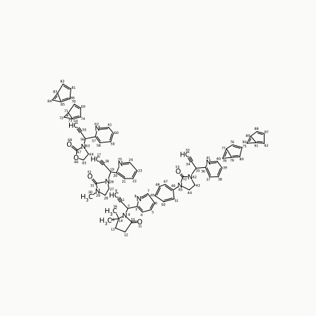 C#CC(c1ccccn1)N1C(=O)CCC1(C)C.C#CC(c1ccccn1)N1CCN(C)C1=O.C#CC(c1ccccn1)N1CCN(c2ccccc2)C1=O.C#CC(c1ccccn1)N1CCOC1=O.c1cc2cc-2c1.c1cc2cc-2c1.c1cc2cc-2c1.c1cc2cc-2c1